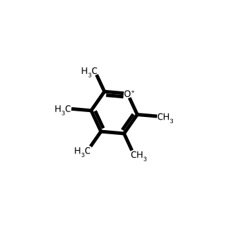 Cc1[o+]c(C)c(C)c(C)c1C